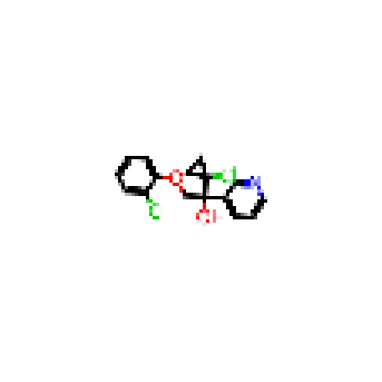 OC(COc1ccccc1Cl)(c1cccnc1)C1(Cl)CC1